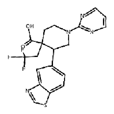 O=C(O)C1(CC(F)(F)F)CCN(c2ncccn2)CC1c1ccc2scnc2c1